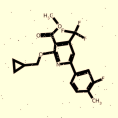 COC(=O)c1c(C(F)(F)F)cc(-c2ccc(C)c(F)c2)nc1OCC1CC1